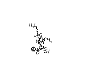 C#C[C@]1(COC(=O)C23CCC(CC2)CC3)O[C@@H](n2cnc3c(NC(=O)CCCCCCC)nc(C)nc32)C[C@@H]1O